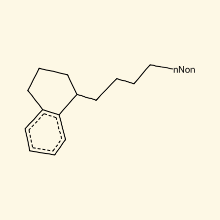 CCCCCCCCCCCCCC1CCCc2ccccc21